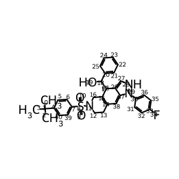 CC(C)(C)c1ccc(S(=O)(=O)N2CCC3=C(C2)[C@@H](C(O)c2ccccc2)C2=CNN(c4ccc(F)cc4)C2=C3)cc1